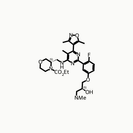 CCOC(=O)N1CCOC[C@@H]1CNc1nc(-c2cc(OC[C@@H](O)CNC)ccc2F)nc(-c2c(C)noc2C)c1C